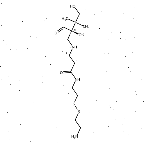 CC(C)(CO)[C@@](O)(C=O)CNCCC(=O)NCCSSCCN